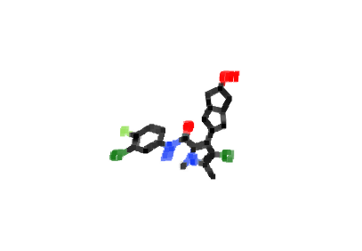 Cc1c(Cl)c(C2CC3CC(O)CC3C2)c(C(=O)Nc2ccc(F)c(Cl)c2)n1C